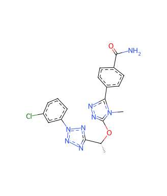 C[C@@H](Oc1nnc(-c2ccc(C(N)=O)cc2)n1C)c1nnn(-c2cccc(Cl)c2)n1